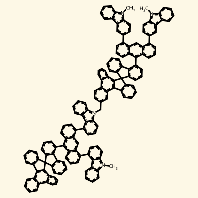 Cn1c2ccccc2c2cc(-c3cccc4c(-c5cccc6c5-c5ccccc5C65c6ccccc6-c6c5c5ccccc5c5ccc(Cn7c8ccccc8c8c(-c9cccc%10c(-c%11cccc%12c%11-c%11ccccc%11C%12%11c%12ccccc%12-c%12c%11c%11ccccc%11c%11ccccc%12%11)c%11cccc(-c%12cccc%13c%12c%12ccccc%12n%13C)c%11cc9%10)cccc87)cc65)c5cccc(-c6ccc7c(c6)c6ccccc6n7C)c5cc34)ccc21